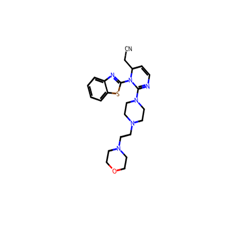 N#CCC1C=CN=C(N2CCN(CCN3CCOCC3)CC2)N1c1nc2ccccc2s1